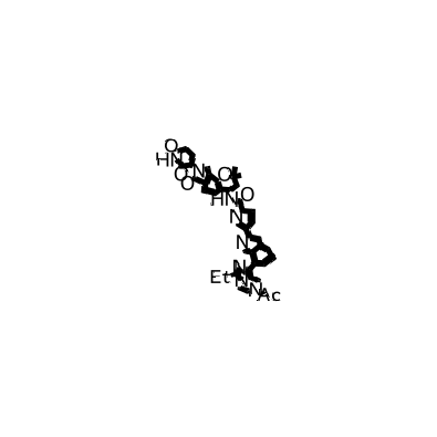 CCc1nc(-c2cccc3cc(-c4ccc(C(=O)NC5CC(C)(C)Oc6c5ccc5c6CN(C6CCC(=O)NC6=O)C5=O)nc4)ncc23)c2n1CCN(C(C)=O)C2